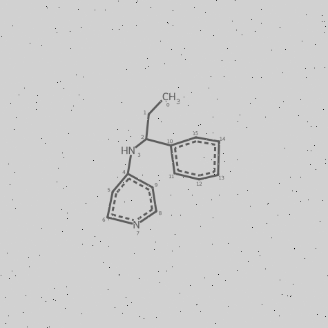 CCC(Nc1ccncc1)c1ccccc1